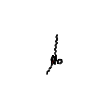 CCCCCCCCCCCN1C=CN(CCCCCCC)C1c1ccccc1